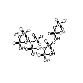 O=P(O)(O)[O][W](=[O])(=[O])[O-].O=P(O)(O)[O][W](=[O])(=[O])[O-].O=P(O)(O)[O][W](=[O])(=[O])[O-].O=P(O)(O)[O][W](=[O])(=[O])[O-].[Ir+4]